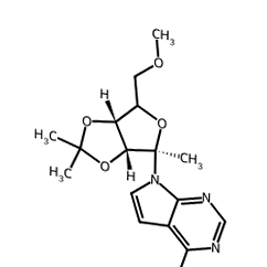 COCC1O[C@@](C)(n2ccc3c(Cl)ncnc32)[C@@H]2OC(C)(C)O[C@H]12